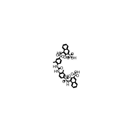 Cc1cc(S(=O)(=O)Nc2c(O)c(S(=O)(=O)O)cc3ccccc23)ccc1NC(=O)Nc1ccc(S(=O)(=O)Nc2c(O)c(S(=O)(=O)O)cc3ccccc23)cc1C